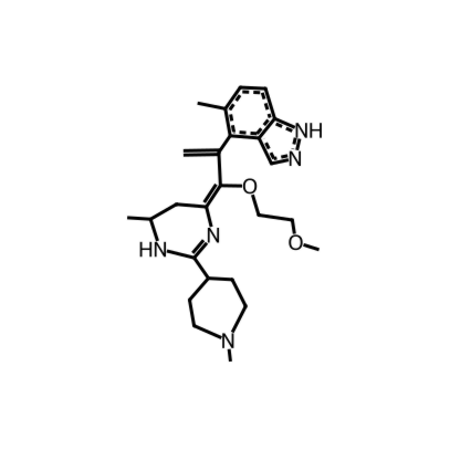 C=C(/C(OCCOC)=C1\CC(C)NC(C2CCN(C)CC2)=N1)c1c(C)ccc2[nH]ncc12